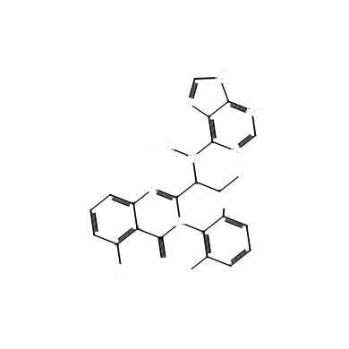 CCC(c1nc2cccc(Cl)c2c(=O)n1-c1c(F)cccc1F)N(N)c1ncnc2[nH]cnc12